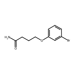 NC(=O)CCCOc1cccc(Br)c1